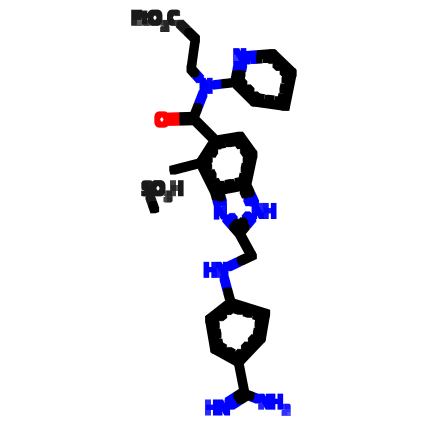 CCOC(=O)CCN(C(=O)c1ccc2[nH]c(CNc3ccc(C(=N)N)cc3)nc2c1C)c1ccccn1.CS(=O)(=O)O